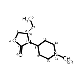 CC[C@H]1COC(=O)N1C1CCN(C)CC1